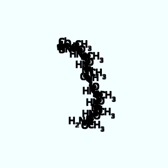 Cn1cc(NC(=O)c2nc(NC(=O)c3cc(NC(=O)CCCNC(=O)c4nc(NC(=O)c5cc(NC(=O)c6cc(NC(=O)c7sccc7Cl)cn6C)cn5C)cn4C)cn3C)cn2C)cc1C(N)=O